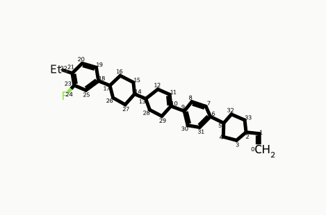 C=CC1CCC(c2ccc(C3=CCC(C4CCC(c5ccc(CC)c(F)c5)CC4)CC3)cc2)CC1